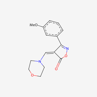 COc1cccc(C2=NOC(=O)C2=CN2CCOCC2)c1